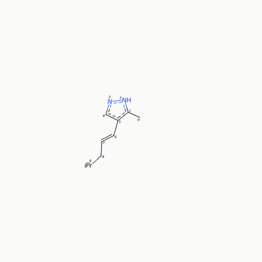 Cc1[nH]ncc1/C=C/CC(C)C